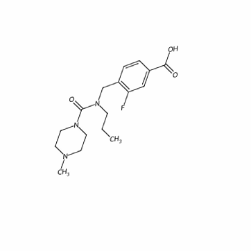 CCCN(Cc1ccc(C(=O)O)cc1F)C(=O)N1CCN(C)CC1